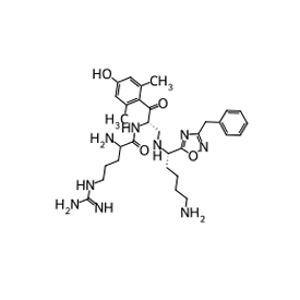 Cc1cc(O)cc(C)c1C(=O)[C@H](CN[C@@H](CCCCN)c1nc(Cc2ccccc2)no1)NC(=O)C(N)CCCNC(=N)N